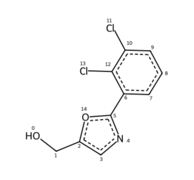 OCc1cnc(-c2cccc(Cl)c2Cl)o1